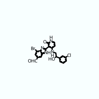 O=Cc1cc(Br)c2nc(-c3c(NCC(O)c4cccc(Cl)c4)cc[nH]c3=O)[nH]c2c1